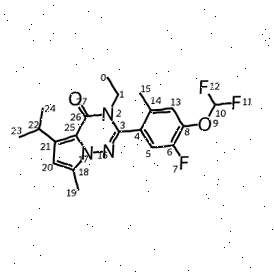 CCn1c(-c2cc(F)c(OC(F)F)cc2C)nn2c(C)cc(C(C)C)c2c1=O